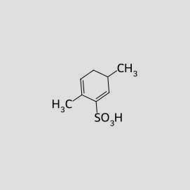 CC1=CCC(C)C=C1S(=O)(=O)O